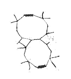 CC1CC(C)(C)/C=C\C(C)(C)CC(C)(N)C2C(C)CC(C)(C)/C=C\C(C)(C)CC(C)(C)C12